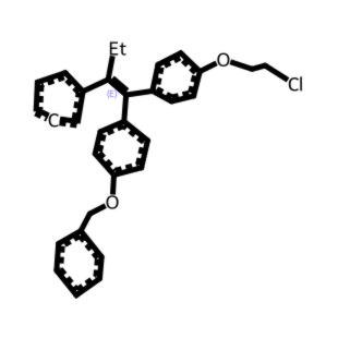 CC/C(=C(\c1ccc(OCCCl)cc1)c1ccc(OCc2ccccc2)cc1)c1ccccc1